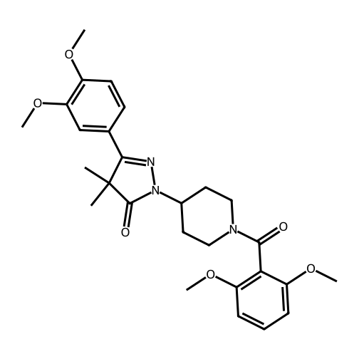 COc1ccc(C2=NN(C3CCN(C(=O)c4c(OC)cccc4OC)CC3)C(=O)C2(C)C)cc1OC